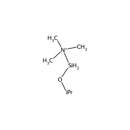 CC(C)O[SiH2][N+](C)(C)C